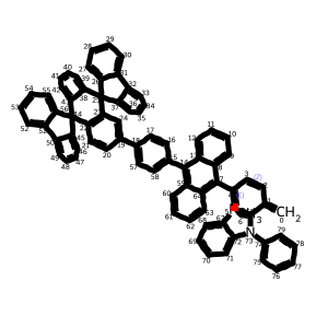 C=C(/C=C\C(=C/C)c1c2ccccc2c(-c2ccc(-c3ccc4c(c3)C3(c5ccccc5-c5ccccc53)c3ccccc3C43c4ccccc4-c4ccccc43)cc2)c2ccccc12)c1nc2ccccc2n1-c1ccccc1